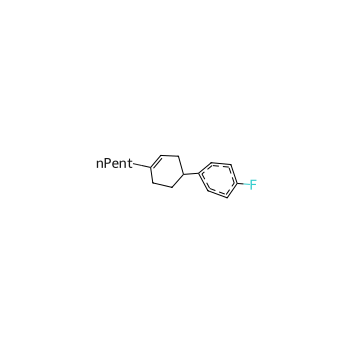 CCCCCC1=CCC(c2ccc(F)cc2)CC1